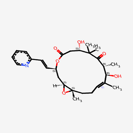 C/C1=C\CC[C@]2(C)O[C@H]2C[C@@H](C=Cc2ccccn2)OC(=O)C[C@H](O)C(C)(C)C(=O)[C@H](C)[C@H]1O